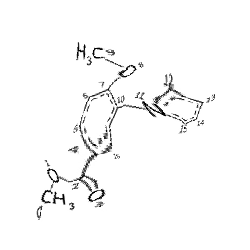 COC(=O)c1ccc(OC)c(-n2cccc2)c1